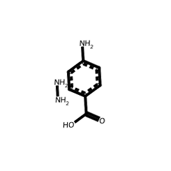 NN.Nc1ccc(C(=O)O)cc1